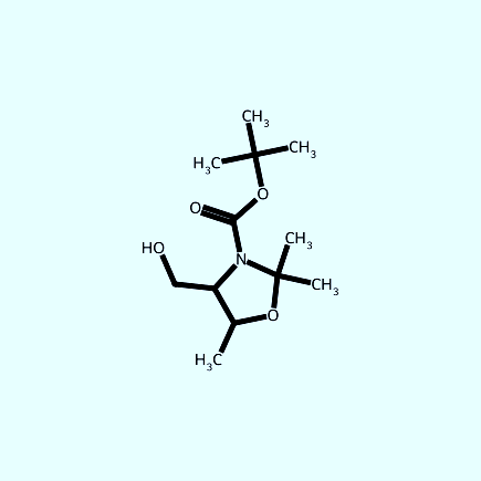 CC1OC(C)(C)N(C(=O)OC(C)(C)C)C1CO